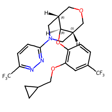 FC(F)(F)c1ccc(O[C@@H]2[C@@H]3COC[C@H]2CN(c2ccc(C(F)(F)F)nn2)C3)c(OCC2CC2)c1